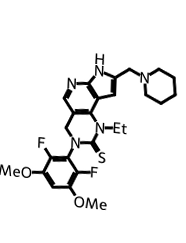 CCN1C(=S)N(c2c(F)c(OC)cc(OC)c2F)Cc2cnc3[nH]c(CN4CCCCC4)cc3c21